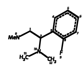 CNCC(c1ccccc1F)N(C)C